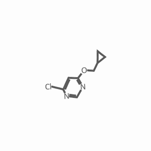 Clc1cc(OCC2CC2)ncn1